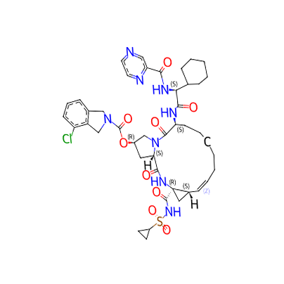 O=C(N[C@H](C(=O)N[C@H]1CCCCC/C=C\[C@@H]2C[C@@]2(C(=O)NS(=O)(=O)C2CC2)NC(=O)[C@@H]2C[C@@H](OC(=O)N3Cc4cccc(Cl)c4C3)CN2C1=O)C1CCCCC1)c1cnccn1